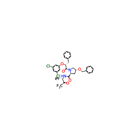 CC(C)[C@H](NC(=O)[C@@H]1C[C@@H](OCc2ccccc2)CN1C(=O)[C@@H](Cc1ccccc1)Oc1cc(Cl)cc(Cl)c1)C(=O)C(F)(F)F